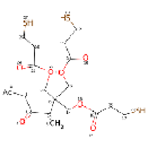 CC(=O)CC(=O)[C@@H](C)C(COC(=O)CCS)(COC(=O)CCS)COC(=O)CCS